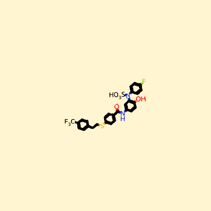 O=C(Nc1ccc(O)c(N(c2ccc(F)cc2)S(=O)(=O)O)c1)c1ccc(SCCc2ccc(C(F)(F)F)cc2)cc1